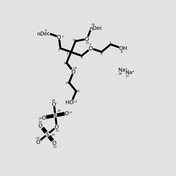 CCCCCCCCCCOCC(COCCO)(COCCO)COCCCCCCCCCC.O=S(=O)([O-])OS(=O)(=O)[O-].[Na+].[Na+]